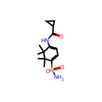 CC1(C)C(NC(=O)C2CC2)=CC=C(S(N)(=O)=O)C1(C)C